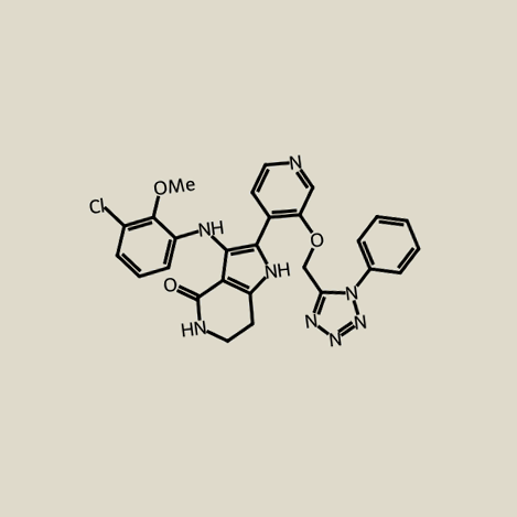 COc1c(Cl)cccc1Nc1c(-c2ccncc2OCc2nnnn2-c2ccccc2)[nH]c2c1C(=O)NCC2